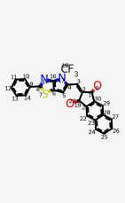 O=C1C(=Cc2cc3sc(-c4ccccc4)nc3n2C(F)(F)F)C(=O)c2cc3ccccc3cc21